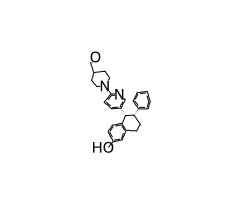 O=CC1CCN(c2ccc([C@H]3c4ccc(O)cc4CC[C@H]3c3ccccc3)cn2)CC1